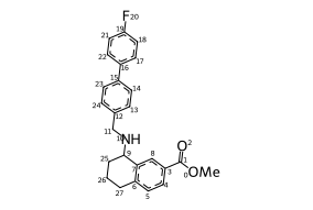 COC(=O)c1ccc2c(c1)C(NCc1ccc(-c3ccc(F)cc3)cc1)CCC2